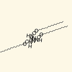 CCCCCCCCCCCCCCCCCCOc1ccc(Nc2nc(Nc3ccc(OCCCCCCCCCCCCCCCCCC)cc3)nc(Nc3cccc(OCCCCCCCCCCCCCCCCCC)c3)n2)cc1